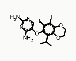 CC(C)c1c(Oc2cnc(N)nc2N)c(I)c(I)c2c1OCCO2